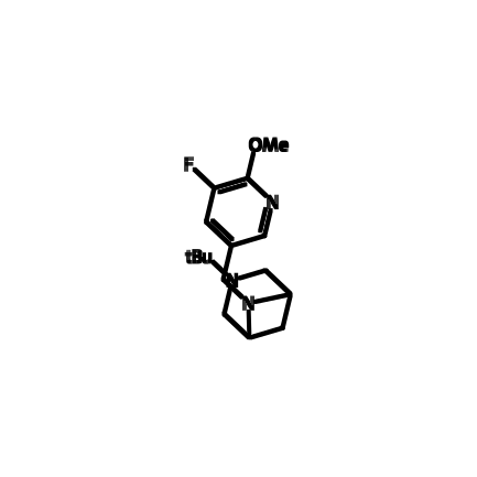 COc1ncc(CN2C3CC2CN(C(C)(C)C)C3)cc1F